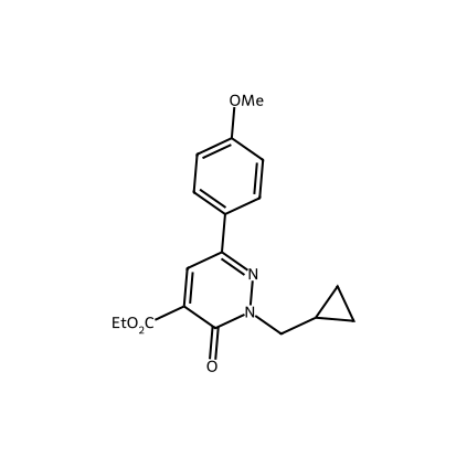 CCOC(=O)c1cc(-c2ccc(OC)cc2)nn(CC2CC2)c1=O